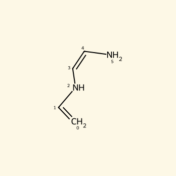 C=CN/C=C\N